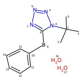 CC(C)(C)n1nnnc1[B]c1ccccc1.O.O